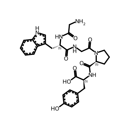 NCC(=O)N[C@@H](Cc1c[nH]c2ccccc12)C(=O)NCC(=O)N1CCC[C@H]1C(=O)N[C@@H](Cc1ccc(O)cc1)C(=O)O